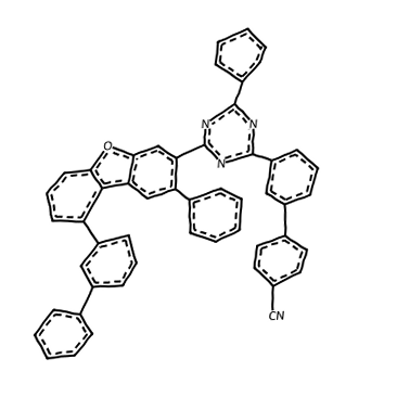 N#Cc1ccc(-c2cccc(-c3nc(-c4ccccc4)nc(-c4cc5oc6cccc(-c7cccc(-c8ccccc8)c7)c6c5cc4-c4ccccc4)n3)c2)cc1